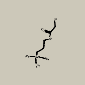 CC(C)CC(=O)NCCC[Si](C(C)C)(C(C)C)C(C)C